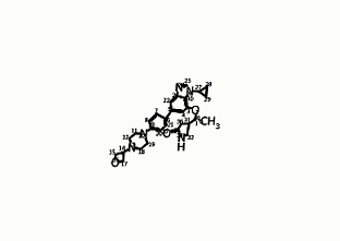 C[C@@H](Oc1cc(-c2ccc(N3CCN(C4COC4)CC3)cc2)cc2ncn(C3CC3)c12)C1CNC(=O)C1